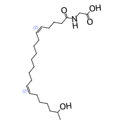 CC(O)CCCC/C=C\CCCCCCC/C=C\CCCC(=O)NCC(=O)O